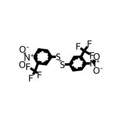 O=[N+]([O-])c1ccc(SSc2ccc([N+](=O)[O-])c(C(F)(F)F)c2)cc1C(F)(F)F